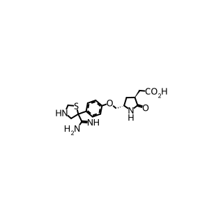 N=C(N)C1(c2ccc(OC[C@@H]3C[C@@H](CC(=O)O)C(=O)N3)cc2)CNCS1